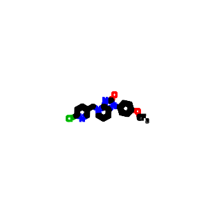 O=c1nc2n(Cc3ccc(Cl)nc3)cccc-2n1-c1ccc(OC(F)(F)F)cc1